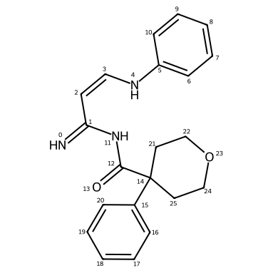 N=C(/C=C\Nc1ccccc1)NC(=O)C1(c2ccccc2)CCOCC1